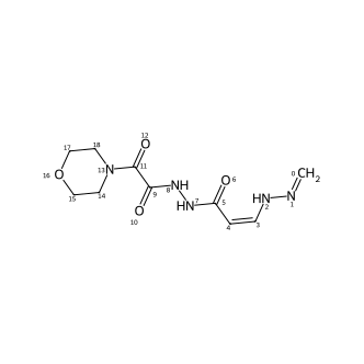 C=NN/C=C\C(=O)NNC(=O)C(=O)N1CCOCC1